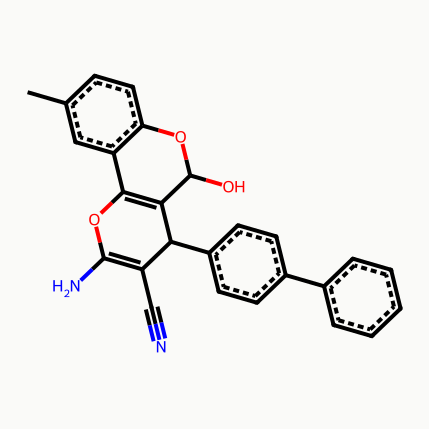 Cc1ccc2c(c1)C1=C(C(O)O2)C(c2ccc(-c3ccccc3)cc2)C(C#N)=C(N)O1